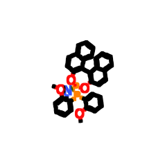 CN=P1(P(c2ccccc2OC)c2ccccc2OC)Oc2ccc3ccccc3c2-c2c(ccc3ccccc23)O1